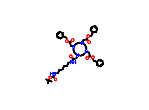 CC(C)(C)OC(=O)NCCCCCCNC(=O)CN1CCN(CC(=O)OCc2ccccc2)CCN(CC(=O)OCc2ccccc2)CCN(CC(=O)OCc2ccccc2)CC1